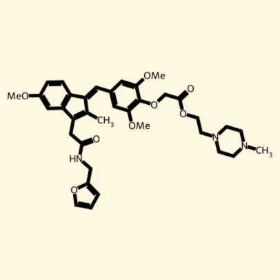 COc1ccc2c(c1)C(CC(=O)NCc1ccco1)=C(C)C2=Cc1cc(OC)c(OCC(=O)OCCN2CCN(C)CC2)c(OC)c1